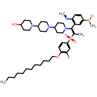 C=Nc1ccc([S+](C)[O-])cc1/C(=C(\C)S(=O)(=O)c1ccc(OCCCCCCCCCCCC)c(F)c1)N1CCC(N2CCC(N3CCC(O)CC3)CC2)CC1